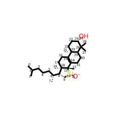 CC(C)CCC[C@@H](C)[C@H]1C[S+]([O-])[C@@]2(C)C3=C(CC[C@]12C)[C@@]1(C)CC[C@H](O)C(C)(C)C1CC3